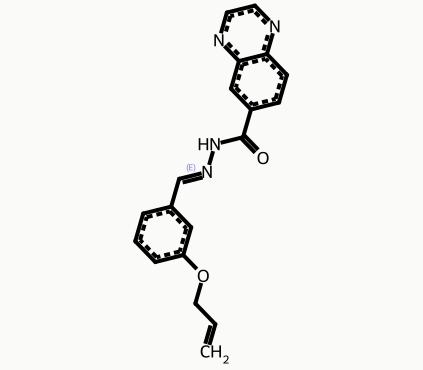 C=CCOc1cccc(/C=N/NC(=O)c2ccc3nccnc3c2)c1